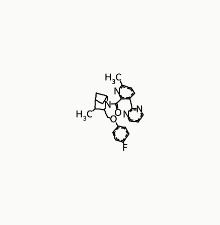 Cc1ccc(-c2ncccn2)c(C(=O)N2C3CC(C3)C(C)C2COc2ccc(F)cc2)n1